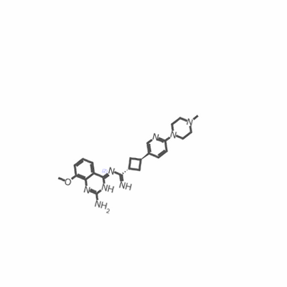 COc1cccc2/c(=N/C(=N)[C@H]3C[C@H](c4ccc(N5CCN(C)CC5)nc4)C3)[nH]c(N)nc12